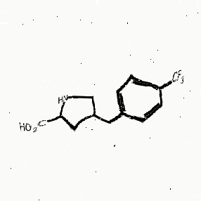 O=C(O)C1CC(Cc2ccc(C(F)(F)F)cc2)CN1